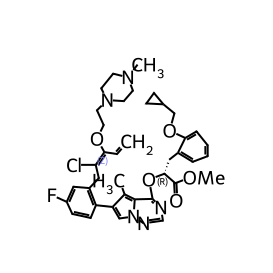 C=C/C(OCCN1CCN(C)CC1)=C(/Cl)Cc1cc(F)ccc1-c1cn2ncnc(O[C@H](Cc3ccccc3OCC3CC3)C(=O)OC)c2c1C